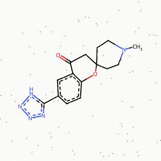 CN1CCC2(CC1)CC(=O)c1cc(-c3nnn[nH]3)ccc1O2